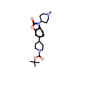 CN1CCC(n2c(=O)oc3cc(C4CCN(C(=O)OC(C)(C)C)CC4)ccc32)CC1